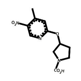 Cc1cc(OC2CCN(C(=O)O)C2)ncc1[N+](=O)[O-]